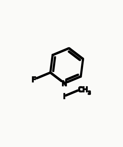 CI.Fc1ccccn1